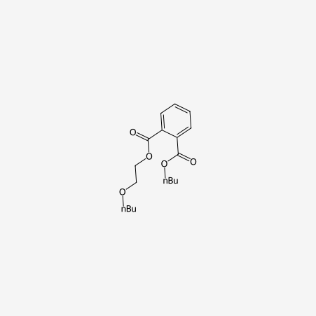 CCCCOCCOC(=O)c1ccccc1C(=O)OCCCC